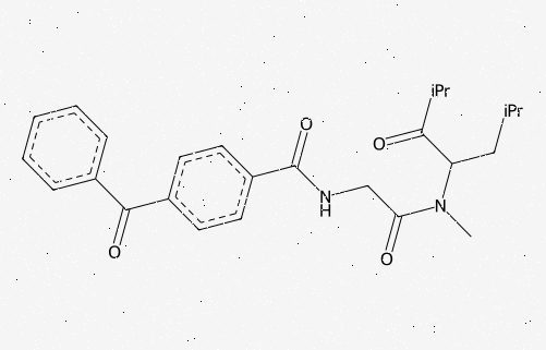 CC(C)CC(C(=O)C(C)C)N(C)C(=O)CNC(=O)c1ccc(C(=O)c2ccccc2)cc1